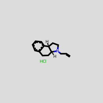 C=CCN1CC[C@H]2c3ccccc3CC[C@H]21.Cl